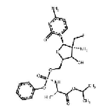 CC(C)OC(=O)[C@H](C)N[P@](=O)(OC[C@H]1O[C@@H](n2ccc(N)nc2=O)[C@@](N)(CF)C1O)Oc1ccccc1